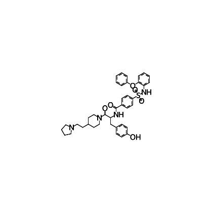 O=C(NC(Cc1ccc(O)cc1)C(=O)N1CCC(CCN2CCCC2)CC1)c1ccc(S(=O)(=O)Nc2ccccc2Oc2ccccc2)cc1